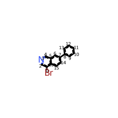 Brc1cncc2cc(-c3ccccc3)ccc12